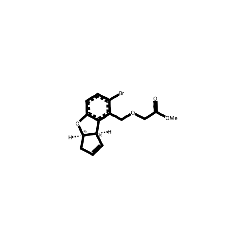 COC(=O)COCc1c(Br)ccc2c1[C@H]1C=CC[C@H]1O2